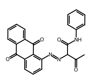 CC(=O)C(N=Nc1cccc2c1C(=O)c1ccccc1C2=O)C(=O)Nc1ccccc1